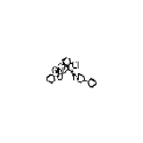 CN(CC(CCN1CCC(c2ccccc2)CC1)c1ccccc1Cl)S(=O)(=O)c1ccccc1